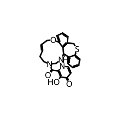 O=C1c2c(O)c(=O)ccn2N2CN1CC/C=C/COc1cccc3c1[C@@H]2c1ccccc1SC3